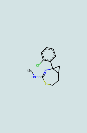 CC(C)(C)NC1=NC2(c3ccccc3Cl)CC2CCS1